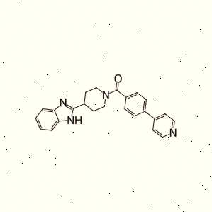 O=C(c1ccc(-c2ccncc2)cc1)N1CCC(c2nc3ccccc3[nH]2)CC1